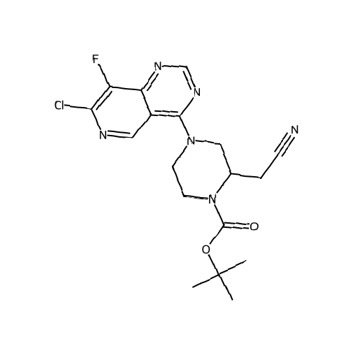 CC(C)(C)OC(=O)N1CCN(c2ncnc3c(F)c(Cl)ncc23)CC1CC#N